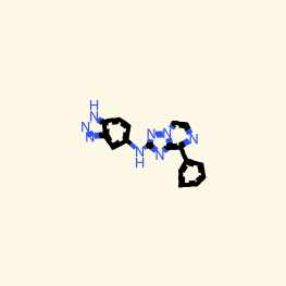 c1ccc(-c2nccn3nc(Nc4ccc5[nH]nnc5c4)nc23)cc1